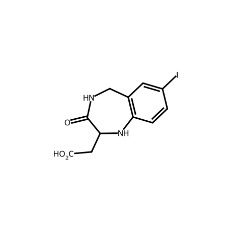 O=C(O)CC1Nc2ccc(I)cc2CNC1=O